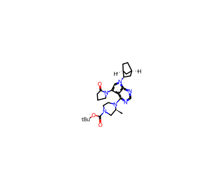 C[C@H]1CN(C(=O)OC(C)(C)C)CCN1c1ncnc2c1c(N1CCCC1=O)cn2[C@@H]1C[C@@H]2CC[C@H]1C2